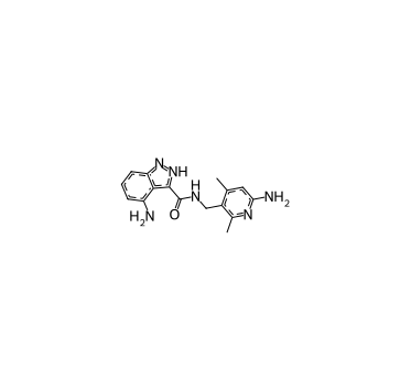 Cc1cc(N)nc(C)c1CNC(=O)c1[nH]nc2cccc(N)c12